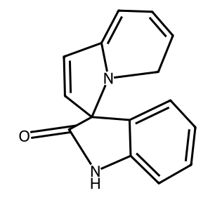 O=C1Nc2ccccc2C12C=CC1=CC=CCN12